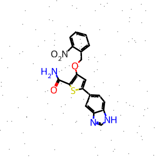 NC(=O)c1sc(-c2ccc3[nH]cnc3c2)cc1OCc1ccccc1[N+](=O)[O-]